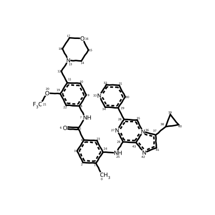 Cc1ccc(C(=O)Nc2ccc(CN3CCOCC3)c(OC(F)(F)F)c2)cc1Nc1nc(-c2cccnc2)cn2c(C3CC3)cnc12